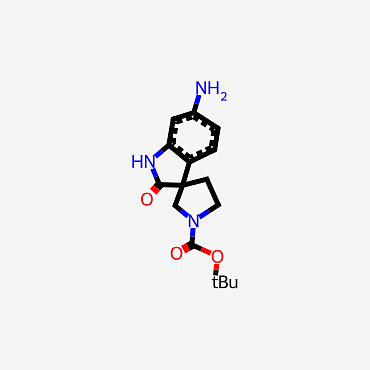 CC(C)(C)OC(=O)N1CCC2(C1)C(=O)Nc1cc(N)ccc12